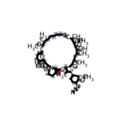 CO[C@H]1C[C@@H]2CC[C@@H](C)[C@@](O)(O2)C(O)C(=O)N2CCCC[C@H]2C(=O)O[C@H]([C@H](C)C[C@@H]2CCC(N=[N+]=[N-])[C@H](OC)C2)CC(=O)[C@H](C)/C=C(\C)[C@@H](O)[C@@H](OC)C(=O)[C@H](C)CC/C=C/C=C/C=C/1C